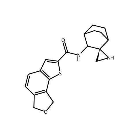 O=C(NC1C2CCC(CC2)[C@@]12CN2)c1cc2ccc3c(c2s1)COC3